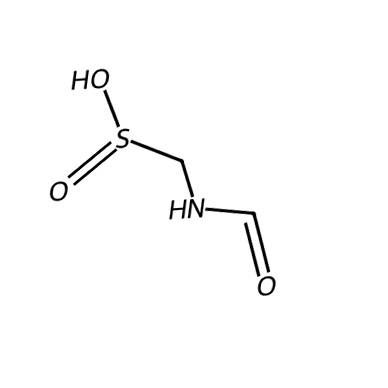 O=CNCS(=O)O